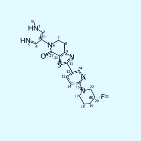 CN/C=C(\C=N)N1CCc2nc(-c3ccc(N4CCC[C@@H](F)C4)nc3)sc2C1=O